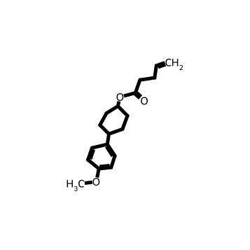 C=CCCC(=O)OC1CCC(c2ccc(OC)cc2)CC1